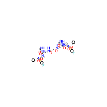 CN[C@@H](C)C(=O)N[C@@H](CCCNC(=O)CCCC(=O)NCCC[C@H](NC(=O)[C@H](C)NC)C(=O)N1CCC[C@H]1CN(CCc1ccccc1)S(=O)(=O)c1ccc(F)cc1)C(=O)N1CCC[C@H]1CN(CCc1ccccc1)S(=O)(=O)c1ccc(F)cc1